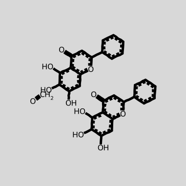 C=O.O=c1cc(-c2ccccc2)oc2cc(O)c(O)c(O)c12.O=c1cc(-c2ccccc2)oc2cc(O)c(O)c(O)c12